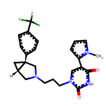 Cn1cccc1-c1cn(CCCN2C[C@@H]3C[C@]3(c3ccc(C(F)(F)F)cc3)C2)c(=O)[nH]c1=O